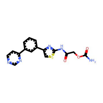 NC(=O)OCC(=O)Nc1nc(-c2cccc(-c3ccncn3)c2)cs1